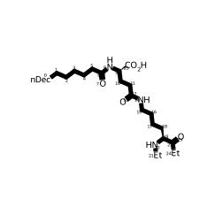 CCCCCCCCCCCCCCCC(=O)N[C@@H](CCC(=O)NCCCC[C@H](NCC)C(=O)CC)C(=O)O